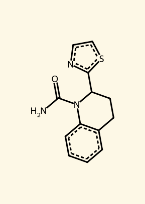 NC(=O)N1c2ccccc2CCC1c1nccs1